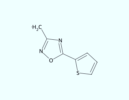 [CH2]c1noc(-c2cccs2)n1